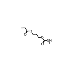 CCC(=O)OCCCOC(=O)NC